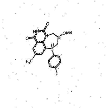 CO[C@@H]1Cn2c(=O)[nH]c(=O)c3cc(C(F)(F)F)cc(c32)[SH](c2ccc(F)cc2)C1